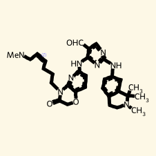 CNC/C=C\CCCN1C(=O)COc2ccc(Nc3nc(Nc4ccc5c(c4)C(C)(C)N(C)CC5)ncc3C=O)nc21